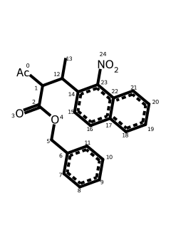 CC(=O)C(C(=O)OCc1ccccc1)C(C)c1ccc2ccccc2c1[N+](=O)[O-]